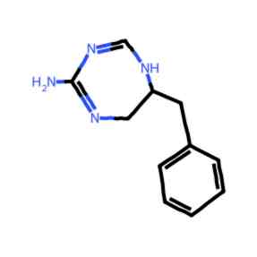 NC1=NCC(Cc2ccccc2)NC=N1